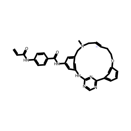 C=CC(=O)Nc1ccc(C(=O)Nc2cc3cc(c2)Nc2ncnc(n2)-c2cccc(c2)OCC/C=C/CN(C)C3)cc1